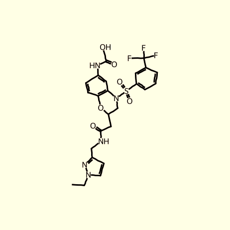 CCn1ccc(CNC(=O)CC2CN(S(=O)(=O)c3cccc(C(F)(F)F)c3)c3cc(NC(=O)O)ccc3O2)n1